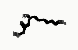 CCCCCCCN(C)CC(=O)OC